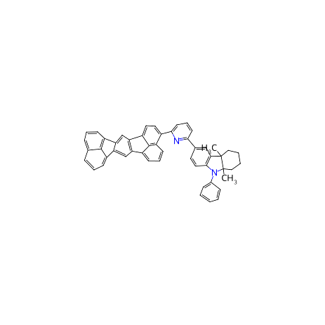 CC12CCCCC1(C)N(c1ccccc1)c1ccc(-c3cccc(-c4ccc5c6cc7c(cc6c6cccc4c65)c4cccc5cccc7c54)n3)cc12